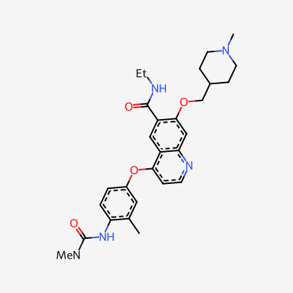 CCNC(=O)c1cc2c(Oc3ccc(NC(=O)NC)c(C)c3)ccnc2cc1OCC1CCN(C)CC1